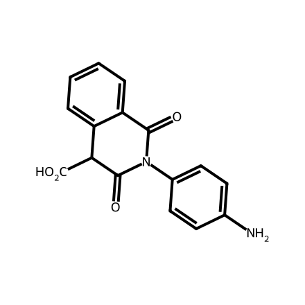 Nc1ccc(N2C(=O)c3ccccc3C(C(=O)O)C2=O)cc1